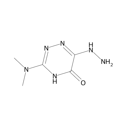 CN(C)c1nnc(NN)c(=O)[nH]1